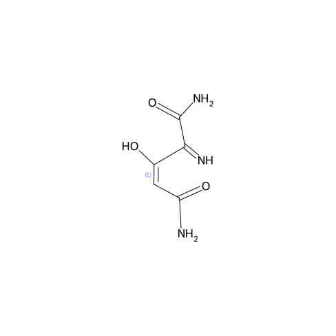 N=C(C(N)=O)/C(O)=C\C(N)=O